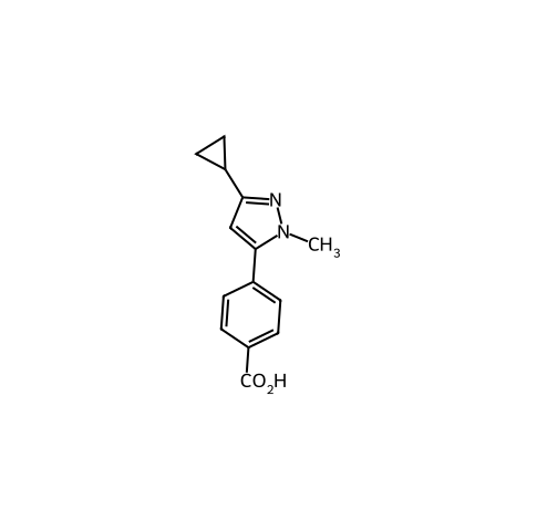 Cn1nc(C2CC2)cc1-c1ccc(C(=O)O)cc1